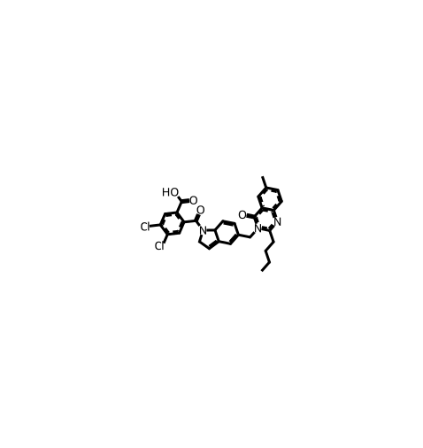 CCCCc1nc2ccc(C)cc2c(=O)n1CC1=CC2=CCN(C(=O)c3cc(Cl)c(Cl)cc3C(=O)O)C2C=C1